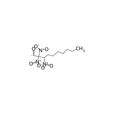 CCCCCCCC([N+](=O)[O-])C([C]=O)([N+](=O)[O-])[N+](=O)[O-]